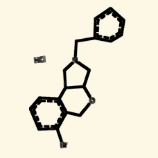 Brc1cccc2c1COC1CN(Cc3ccccc3)CC21.Cl